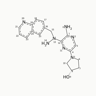 Nc1ncc(N2CC[C@H](O)C2)nc1N(N)Cc1ccc2ncccc2c1